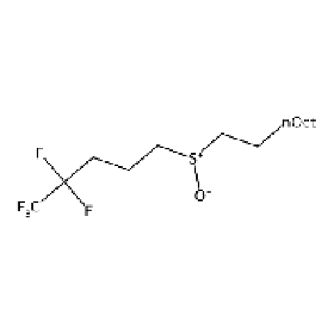 CCCCCCCCCC[S+]([O-])CCCC(F)(F)C(F)(F)F